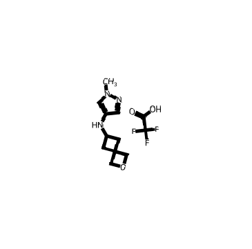 Cn1cc(NC2CC3(COC3)C2)cn1.O=C(O)C(F)(F)F